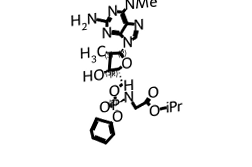 CNc1nc(N)nc2c1ncn2[C@@H]1O[C@H](CO[P@](=O)(NCC(=O)OC(C)C)Oc2ccccc2)[C@@H](O)[C@@H]1C